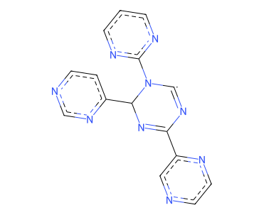 [C]1=NC(c2cnccn2)=NC(c2ccncn2)N1c1ncccn1